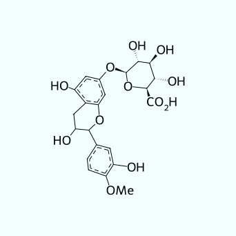 COc1ccc(C2Oc3cc(O[C@@H]4O[C@H](C(=O)O)[C@@H](O)[C@H](O)[C@H]4O)cc(O)c3CC2O)cc1O